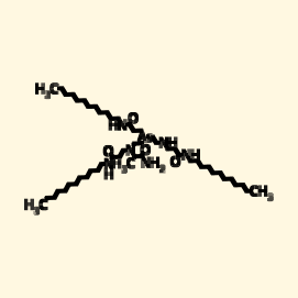 CCCCCCCCCCCCNC(=O)CCNCC[As](CCC(=O)NCCCCCCCCCCCC)CCN(CCC(=O)NCCCCCCCCCCCC)C(C)C(N)=O